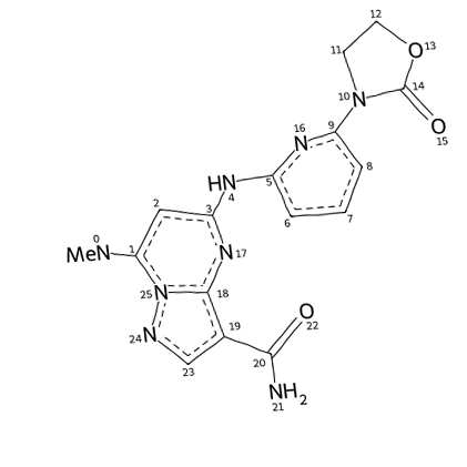 CNc1cc(Nc2cccc(N3CCOC3=O)n2)nc2c(C(N)=O)cnn12